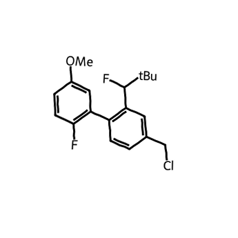 COc1ccc(F)c(-c2ccc(CCl)cc2C(F)C(C)(C)C)c1